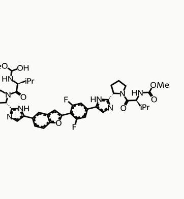 COC(=O)N[C@H](C(=O)N1CCC[C@H]1c1ncc(-c2cc(F)c(-c3cc4cc(-c5cnc([C@@H]6CCCN6C(=O)[C@@H](NC(O)OC)C(C)C)[nH]5)ccc4o3)c(F)c2)[nH]1)C(C)C